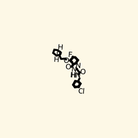 O=C(NCc1cccc(Cl)c1)c1nc2ccc(F)c(OCCC3C[C@H]4CC[C@@H]3O4)c2c(=O)[nH]1